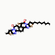 CCCCCCCCc1cc2c(nc3c4ccc5c6c(sc(c(=O)n23)c46)c(=O)n2c3cc(C)sc3nc52)s1